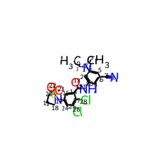 CCN(C)c1cc(C#N)cc(NC(=O)c2cc(N3CCCS3(=O)=O)cc(Cl)c2Cl)c1